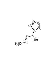 C/C=C/C(Br)c1cccs1